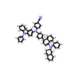 N#Cc1ccc(N(c2ccc(-c3ccc(N(c4ccccc4)C4C=c5ccccc5=CC4)c4ccccc34)cc2)c2ccc3c(c2)c2ccccc2n3-c2ccccc2)cc1